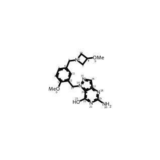 COc1ccc(CN2CC(OC)C2)cc1Cn1ncc2nc(N)nc(O)c21